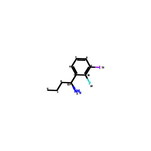 CCC[C@H](N)c1cccc(I)c1F